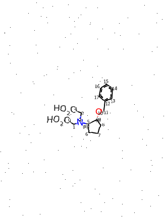 O=C(O)CN(CC(=O)O)[C@@H]1CCC[C@H]1OCc1ccccc1